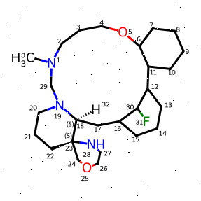 CN1CCCOC2CCCCC2C2CCCC(C[C@@H]3N(CCC[C@@]34COCCN4)C1)C2F